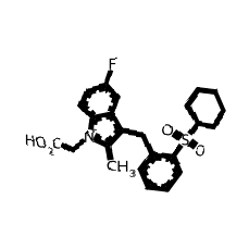 Cc1c(Cc2ccccc2S(=O)(=O)C2CCCCC2)c2cc(F)ccc2n1CC(=O)O